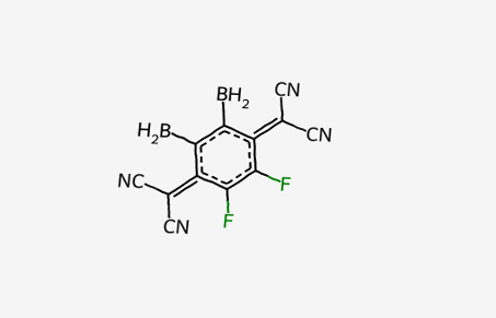 Bc1c(B)c(=C(C#N)C#N)c(F)c(F)c1=C(C#N)C#N